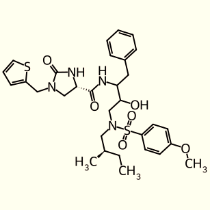 CC[C@@H](C)CN(CC(O)C(Cc1ccccc1)NC(=O)[C@@H]1CN(Cc2cccs2)C(=O)N1)S(=O)(=O)c1ccc(OC)cc1